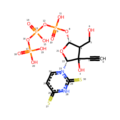 C#CC1(O)C(CO)[C@@H](OP(=O)(O)OP(=O)(O)OP(=O)(O)O)O[C@H]1n1ccc(=S)[nH]c1=S